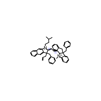 C=CCC1(Cc2ccccc2)/C(=C\C=C\C2=[N+](C)c3ccccc3C2(Cc2ccccc2)Cc2ccccc2)N(CCC(C)C)c2cc3ccccc3cc21